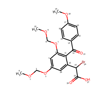 COCOc1cc(OCOC)c(C(=O)c2ccc(OC)cc2)c(C(Br)C(=O)O)c1